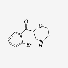 O=C(c1ccccc1Br)C1CNCCO1